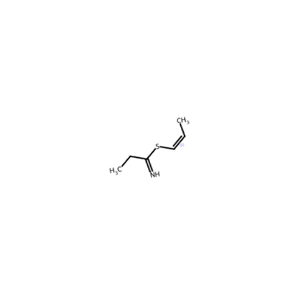 C/C=C\SC(=N)CC